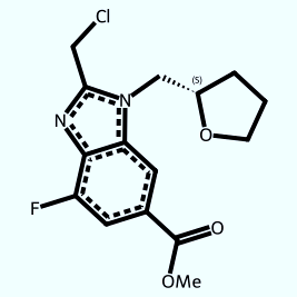 COC(=O)c1cc(F)c2nc(CCl)n(C[C@@H]3CCCO3)c2c1